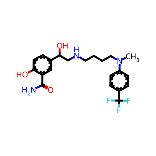 CN(CCCCNCC(O)c1ccc(O)c(C(N)=O)c1)c1ccc(C(F)(F)F)cc1